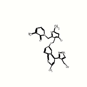 Cc1cc(Cl)c(COc2ccc3nc(C)cc(-c4n[nH]cc4CO)c3c2)c(Cn2cccc(C#N)c2=O)n1